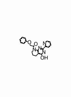 O=C(COc1ccccc1)N1CCCc2c(O)nc(-c3ccccn3)nc21